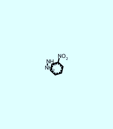 NN.O=[N+]([O-])c1ccccc1